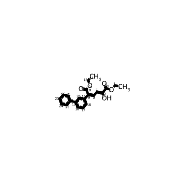 CCOC(=O)C(O)=CC=C(C(=O)OCC)c1cccc(-c2ccccc2)c1